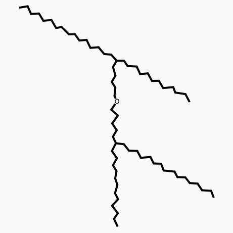 CCCCCCCCCCCCCCCCC(CCCCCCCCCCCC)CCCCCOCCCCCC(CCCCCCCCCCCC)CCCCCCCCCCCCCCCC